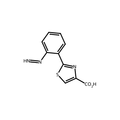 N=Nc1ccccc1-c1nc(C(=O)O)cs1